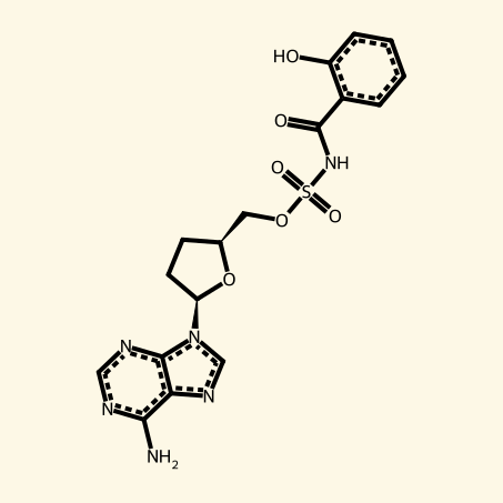 Nc1ncnc2c1ncn2[C@H]1CC[C@@H](COS(=O)(=O)NC(=O)c2ccccc2O)O1